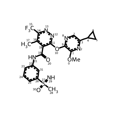 COc1nc(C2CC2)cnc1Oc1nnc(C(F)(F)F)c(C)c1C(=O)Nc1cccc(S(C)(=N)=O)c1